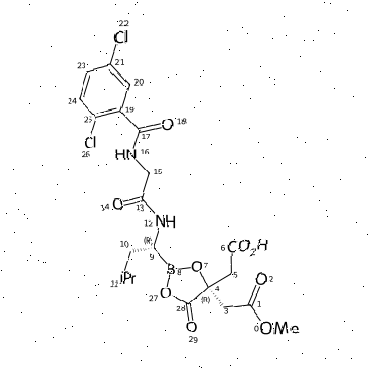 COC(=O)C[C@@]1(CC(=O)O)OB([C@H](CC(C)C)NC(=O)CNC(=O)c2cc(Cl)ccc2Cl)OC1=O